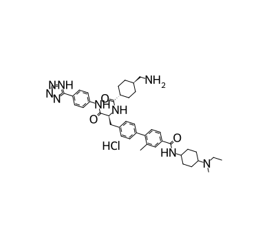 CCN(C)C1CCC(NC(=O)c2ccc(-c3ccc(C[C@H](NC(=O)[C@H]4CC[C@H](CN)CC4)C(=O)Nc4ccc(-c5nnn[nH]5)cc4)cc3)c(C)c2)CC1.Cl